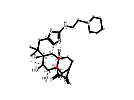 C=C1C(=O)[C@]23[C@H](O)C1CC[C@H]2[C@@]12CO[C@@]3(O)[C@@H](O)[C@@H]1C(C)(C)Cc1sc(NCCN3CCCCC3)nc12